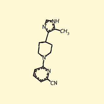 Cc1[nH]cnc1C1CCN(c2cccc(C#N)n2)CC1